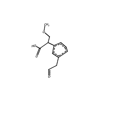 COCC(C(=O)O)c1cccc(CC=O)c1